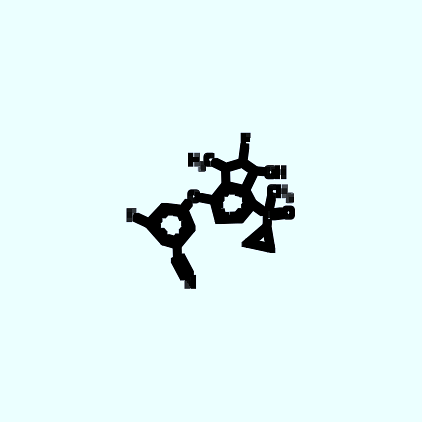 CC1c2c(Oc3cc(F)cc(C#N)c3)ccc(P(C)(=O)C3CC3)c2C(O)C1F